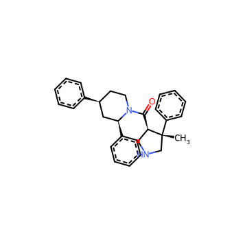 C[C@@]1(c2ccccc2)CNC[C@H]1C(=O)N1CC[C@H](c2ccccc2)C[C@@H]1c1ccccc1